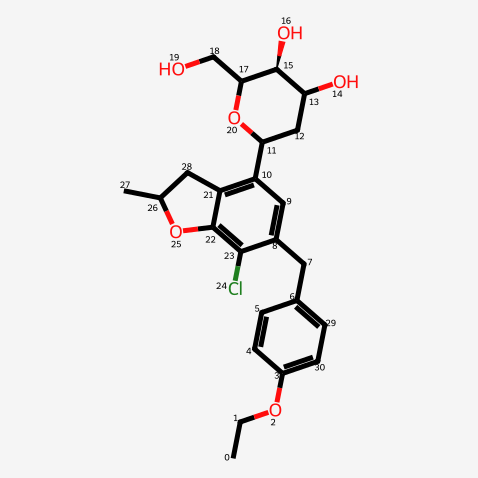 CCOc1ccc(Cc2cc(C3CC(O)[C@H](O)C(CO)O3)c3c(c2Cl)OC(C)C3)cc1